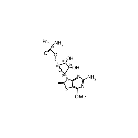 C=C1Sc2c(OC)nc(N)nc2N1[C@@H]1O[C@H](COC(=O)[C@@H](N)C(C)C)[C@@H](O)[C@H]1O